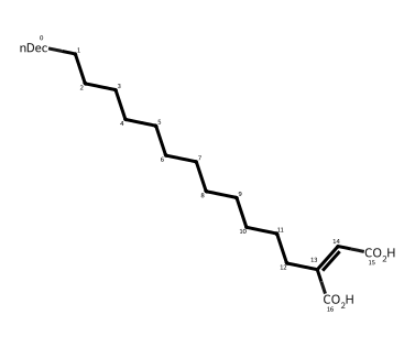 CCCCCCCCCCCCCCCCCCCCCCC(=CC(=O)O)C(=O)O